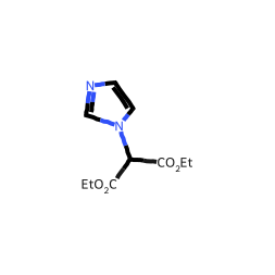 CCOC(=O)C(C(=O)OCC)n1ccnc1